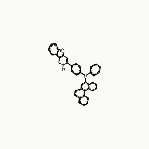 C1=C(c2ccc(N(c3ccccc3)c3cc4ccc5ccccc5c4c4ccccc34)cc2)NCc2c1oc1ccccc21